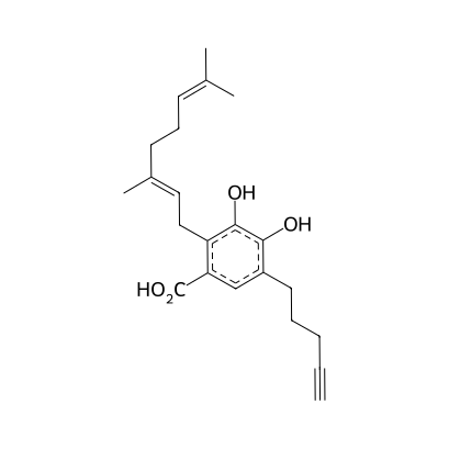 C#CCCCc1cc(C(=O)O)c(C/C=C(\C)CCC=C(C)C)c(O)c1O